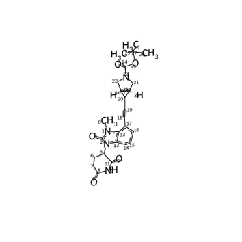 Cn1c(=O)n(C2CCC(=O)NC2=O)c2cccc(C#CC3[C@H]4CN(C(=O)OC(C)(C)C)C[C@@H]34)c21